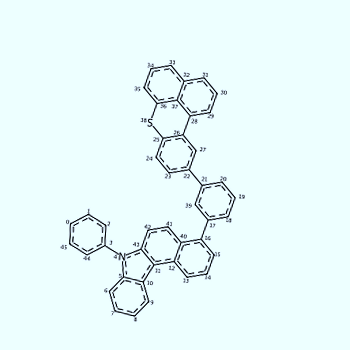 c1ccc(-n2c3ccccc3c3c4cccc(-c5cccc(-c6ccc7c(c6)-c6cccc8cccc(c68)S7)c5)c4ccc32)cc1